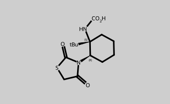 CC(C)(C)[C@@]1(NC(=O)O)CCCC[C@H]1N1C(=O)CSC1=O